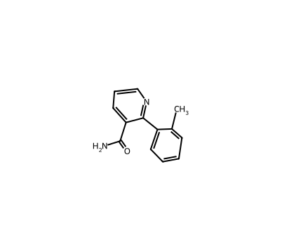 Cc1ccccc1-c1ncccc1C(N)=O